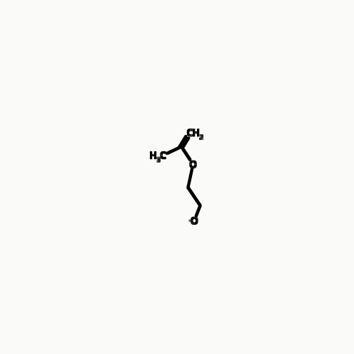 C=C(C)OCC[O]